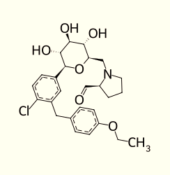 CCOc1ccc(Cc2cc([C@@H]3O[C@H](CN4CCC[C@H]4C=O)[C@@H](O)[C@H](O)[C@H]3O)ccc2Cl)cc1